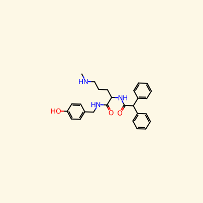 CNCCCC(NC(=O)C(c1ccccc1)c1ccccc1)C(=O)NCc1ccc(O)cc1